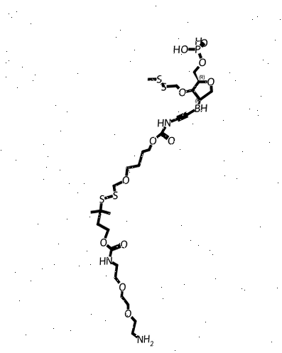 CSSCOC1[C@H](BC#CNC(=O)OCCCCOCSSC(C)(C)CCOC(=O)NCCOCCOCCN)CO[C@@H]1CO[PH](=O)O